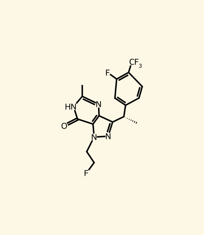 Cc1nc2c([C@@H](C)c3ccc(C(F)(F)F)c(F)c3)nn(CCF)c2c(=O)[nH]1